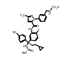 CC(C)(C)[S@@+]([O-])N[C@](CCC1CC1)(c1ccc(C#N)cc1)c1ccc(F)c(NC(=O)c2cc(C(F)(F)F)nn2-c2cccc(CNC(=O)O)c2)c1